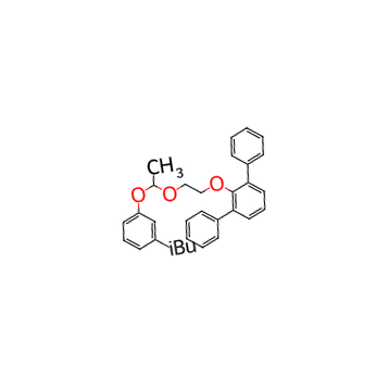 CCC(C)c1cccc(OC(C)OCCOc2c(-c3ccccc3)cccc2-c2ccccc2)c1